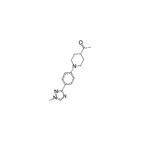 CC(=O)C1CCN(c2ccc(-c3ncn(C)n3)cc2)CC1